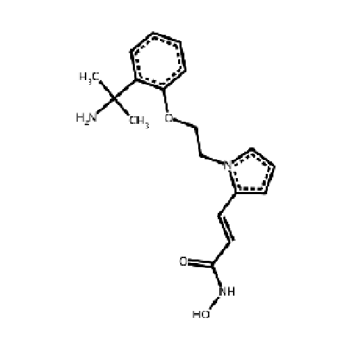 CC(C)(N)c1ccccc1OCCn1cccc1/C=C/C(=O)NO